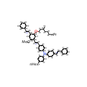 CCCCCCc1ccc(N(c2ccc(/C=C/c3ccccc3)cc2)c2ccc(/C=C/c3cc(OCCC(C)CCCC(C)C)c(/C=C/c4ccccc4)cc3OC)cc2)cc1